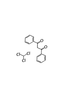 ClC(Cl)Cl.O=C(CC(=O)c1ccccc1)c1ccccc1